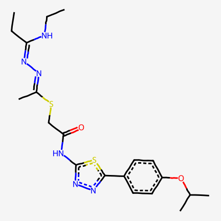 CCN/C(CC)=N\N=C(/C)SCC(=O)Nc1nnc(-c2ccc(OC(C)C)cc2)s1